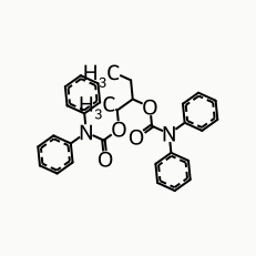 CCC(OC(=O)N(c1ccccc1)c1ccccc1)C(C)OC(=O)N(c1ccccc1)c1ccccc1